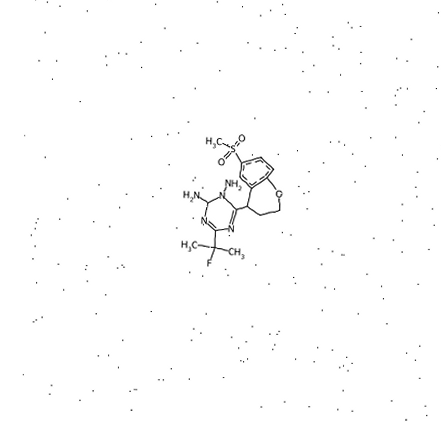 CC(C)(F)C1=NC(N)N(N)C(C2CCOc3ccc(S(C)(=O)=O)cc32)=N1